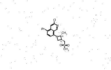 CC(C)c1ccc(N2C[C@H](CS(C)(=O)=O)[C@H]2C)c2cnc(Cl)cc12